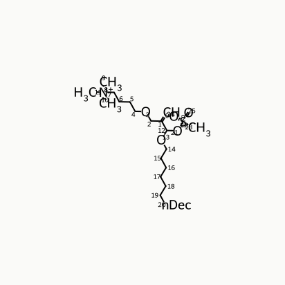 C=C(COCCCC[N+](C)(C)C)C(OCCCCCCCCCCCCCCCC)OS(C)(=O)=O